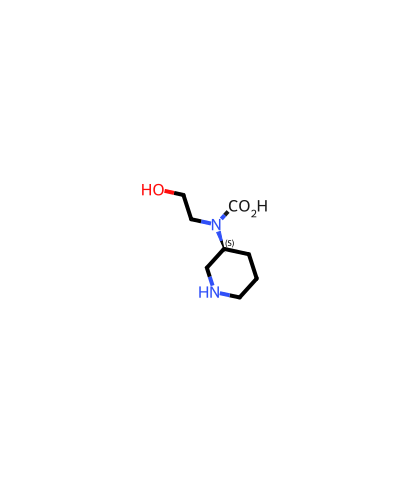 O=C(O)N(CCO)[C@H]1CCCNC1